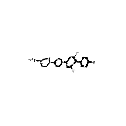 CCCC1CCC(c2ccc(-c3cc(F)c(-c4ccc(F)cc4)c(F)c3)cc2)CC1